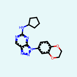 c1cc2c(cc1-n1nnc3cnc(NC4CCCC4)nc31)OCCO2